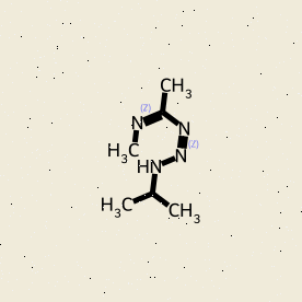 C/N=C(C)\N=N/NC(C)C